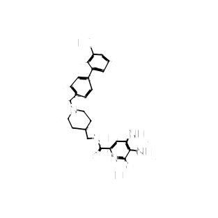 CCOc1nc(C(=O)NCC2CCN(Cc3ccc(-c4cccc(C)c4)cc3)CC2)cc(N)c1N